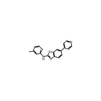 Cc1ccnc(Nc2nc3ccc(-c4ccncc4)cc3s2)c1